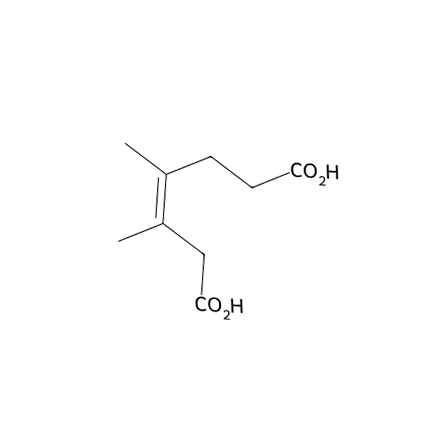 CC(CCC(=O)O)=C(C)CC(=O)O